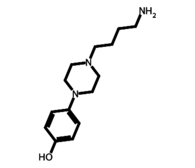 NCCCCN1CCN(c2ccc(O)cc2)CC1